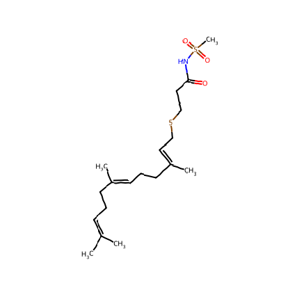 CC(C)=CCCC(C)=CCCC(C)=CCSCCC(=O)NS(C)(=O)=O